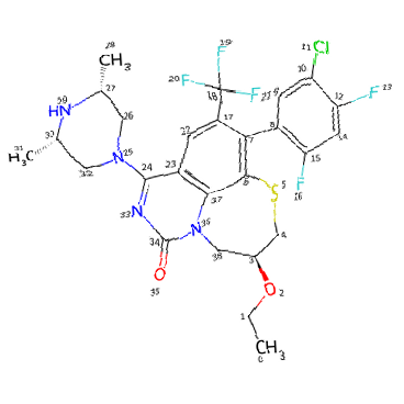 CCO[C@@H]1CSc2c(-c3cc(Cl)c(F)cc3F)c(C(F)(F)F)cc3c(N4C[C@@H](C)N[C@@H](C)C4)nc(=O)n(c23)C1